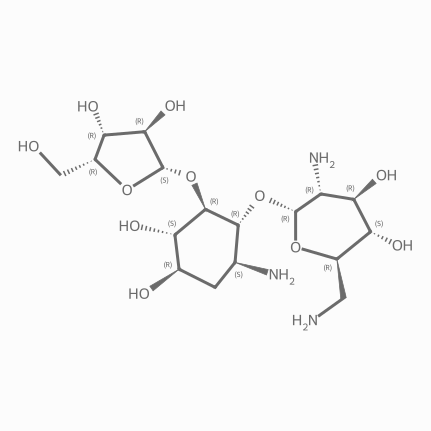 NC[C@H]1O[C@H](O[C@H]2[C@H](O[C@@H]3O[C@H](CO)[C@H](O)[C@H]3O)[C@@H](O)[C@H](O)C[C@@H]2N)[C@H](N)[C@@H](O)[C@@H]1O